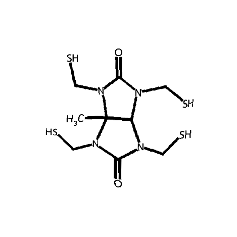 CC12C(N(CS)C(=O)N1CS)N(CS)C(=O)N2CS